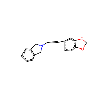 C(=C\c1ccc2c(c1)OCO2)/CN1Cc2ccccc2C1